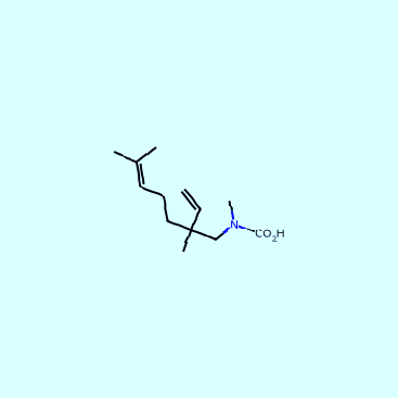 C=CC(C)(CCC=C(C)C)CN(C)C(=O)O